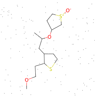 COCCC1SCCC1CC(C)OC1CC[S+]([O-])C1